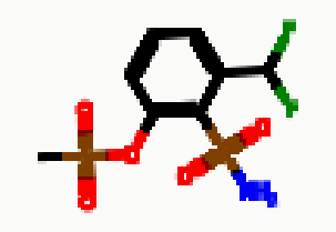 CS(=O)(=O)Oc1cccc(C(F)F)c1S(N)(=O)=O